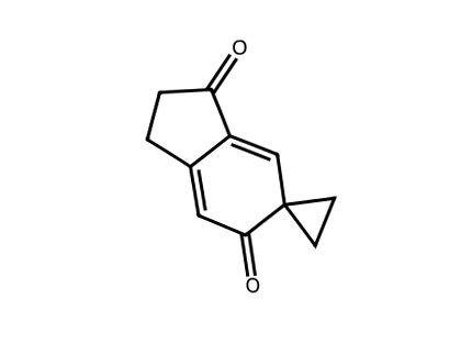 O=C1CCC2=CC(=O)C3(C=C12)CC3